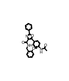 COc1ccccc1CNC(=O)c1nc(-c2ccccc2)oc1-c1ccc(NC(C)=O)cc1